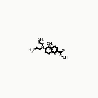 CCCN(CCC)[C@H]1CCc2cc(C(=O)OC)ccc2[C@H]1C